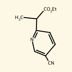 CCOC(=O)C(C)c1ccc(C#N)cn1